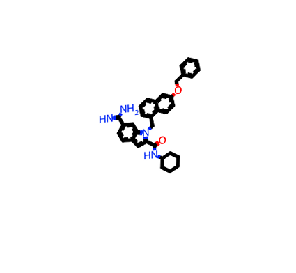 N=C(N)c1ccc2cc(C(=O)NC3CCCCC3)n(Cc3cccc4cc(OCc5ccccc5)ccc34)c2c1